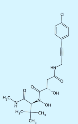 CNC(=O)[C@@H](N(O)C(=O)[C@@H](O)CC(=O)NCC#Cc1ccc(Cl)cc1)C(C)(C)C